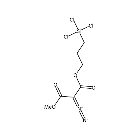 COC(=O)C(=[N+]=[N-])C(=O)OCCC[Si](Cl)(Cl)Cl